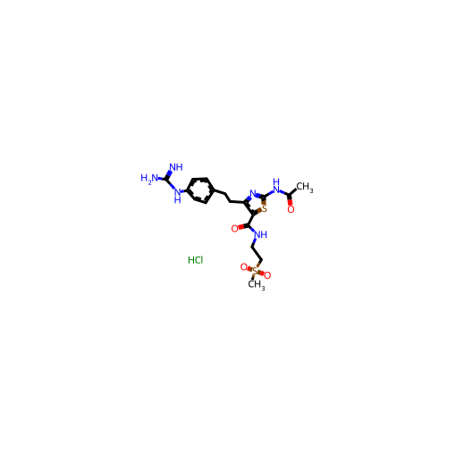 CC(=O)Nc1nc(CCc2ccc(NC(=N)N)cc2)c(C(=O)NCCS(C)(=O)=O)s1.Cl